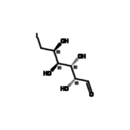 O=C[C@H](O)[C@@H](O)[C@@H](O)[C@H](O)CI